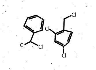 ClC(Cl)c1ccccc1.ClCc1ccc(Cl)cc1Cl